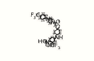 O=C(COC1CCC(Nc2ccc(N(O)O)c(C(F)(F)F)c2)CC1)N1CC2CC1CN2c1ccc(C(F)(F)F)cc1